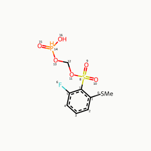 CSc1cccc(F)c1S(=O)(=O)OCO[PH](=O)O